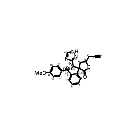 C#CCC1CC(c2ccccc2Cc2ccc(OC)cc2)(C(CCCC)c2nc[nH]n2)C(=O)O1